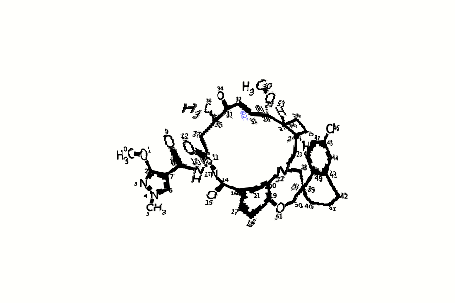 COc1nn(C)cc1C(=O)N[S@@]1(=O)=NC(=O)c2ccc3c(c2)N(C[C@@H]2CC[C@H]2[C@@H](OC)/C=C/C(=O)[C@H](C)C1)C[C@@]1(CCCc2cc(Cl)ccc21)CO3